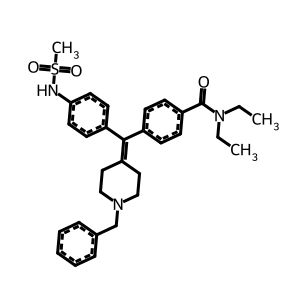 CCN(CC)C(=O)c1ccc(C(=C2CCN(Cc3ccccc3)CC2)c2ccc(NS(C)(=O)=O)cc2)cc1